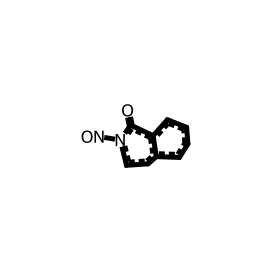 O=Nn1ccc2ccccc2c1=O